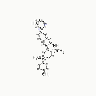 C=C(Nc1cc2cc(C(/C=N\C)=C/C)ccc2cn1)[C@H]1CC[C@H](C(=C)N2CCN(C)CC2)CC1